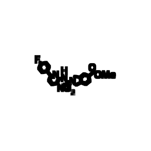 COC(=O)c1ccc2c(c1)CN(C(=O)Nc1nc(-c3ccc(F)cc3)ccc1[N+](=O)[O-])C2